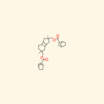 CC1(COC(=O)C2CC3CCC2C3)CC2CC(C1)C1CC(C)(COC(=O)C3CC4CCC3C4)CCC21